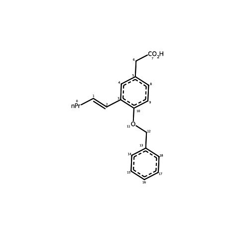 CCCC=Cc1cc(CC(=O)O)ccc1OCc1ccccc1